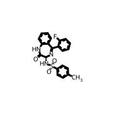 Cc1ccc(S(=O)(=O)N[C@@H]2N=C(c3ccccc3F)c3ccccc3NC2=O)cc1